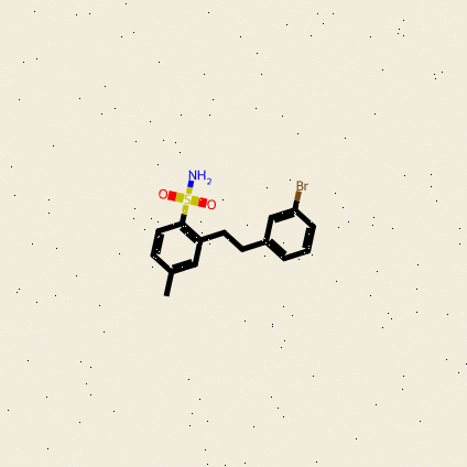 Cc1ccc(S(N)(=O)=O)c(CCc2cccc(Br)c2)c1